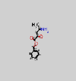 CC(N)CC(=O)C(=O)OCc1ccccc1